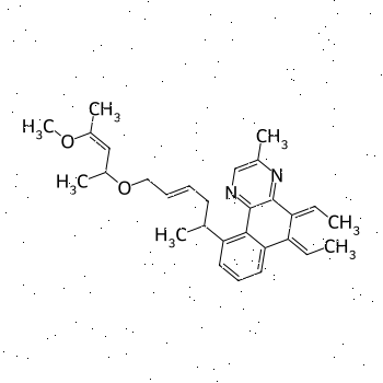 C/C=c1\c(=C/C)c2nc(C)cnc2c2c(C(C)C/C=C/COC(C)/C=C(/C)OC)cccc12